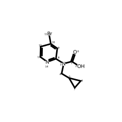 O=C(O)N(CC1CC1)c1cc(Br)ccn1